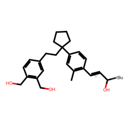 Cc1cc(C2(CCc3ccc(CO)c(CO)c3)CCCC2)ccc1/C=C/C(O)C(C)(C)C